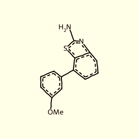 COc1cccc(-c2cccc3nc(N)sc23)c1